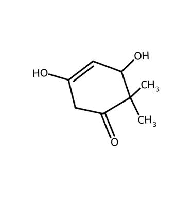 CC1(C)C(=O)CC(O)=CC1O